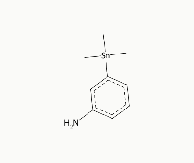 [CH3][Sn]([CH3])([CH3])[c]1cccc(N)c1